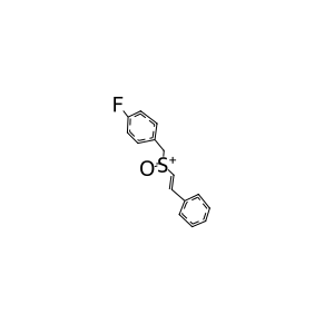 [O-][S+](C=Cc1ccccc1)Cc1ccc(F)cc1